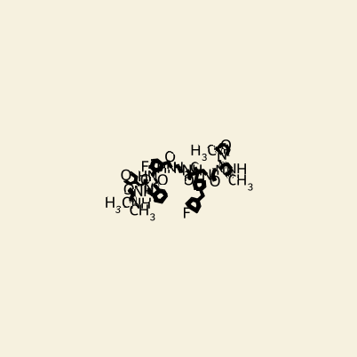 CN[C@@H](C)C(=O)NC(C(=O)N1Cc2ccccc2[C@H]1C(=O)Nc1cc(C(=O)NCCNC(=O)C2(C)CN(C(=O)CN3C[C@@H](C)NC[C@@H]3CN3CCOC[C@H]3C)c3cc(Cc4ccc(F)cc4)ccc32)ccc1F)C1CCOCC1